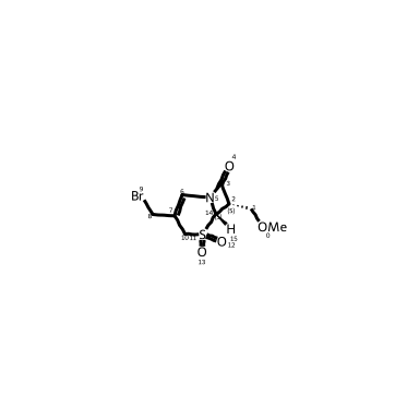 COC[C@H]1C(=O)N2C=C(CBr)CS(=O)(=O)[C@@H]12